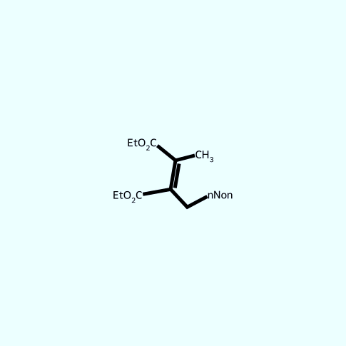 CCCCCCCCCCC(C(=O)OCC)=C(C)C(=O)OCC